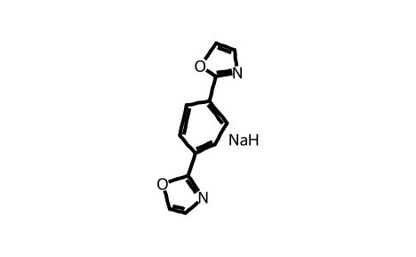 [NaH].c1coc(-c2ccc(-c3ncco3)cc2)n1